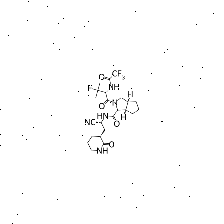 CC(C)(F)[C@H](NC(=O)C(F)(F)F)C(=O)N1C[C@@H]2CCC[C@@H]2C1C(=O)N[C@H](C#N)C[C@@H]1CCCNC1=O